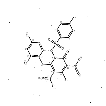 Cc1ccc(S(=O)(=O)On2c(Cc3ccc(Cl)cc3Cl)c([N+](=O)[O-])c(C)c([N+](=O)[O-])c2=O)cc1